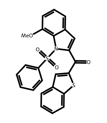 COc1cccc2cc(C(=O)c3cc4ccccc4s3)n(S(=O)(=O)c3ccccc3)c12